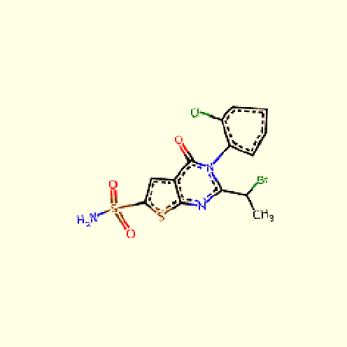 CC(Br)c1nc2sc(S(N)(=O)=O)cc2c(=O)n1-c1ccccc1Cl